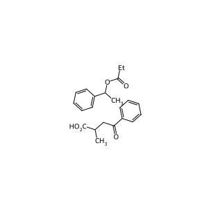 CC(CC(=O)c1ccccc1)C(=O)O.CCC(=O)OC(C)c1ccccc1